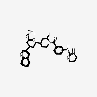 COC(=O)CC(CCC1CCN(C(=O)c2cccc(NC3=NCCCN3)c2)C(I)C1)c1cnc2ccccc2c1